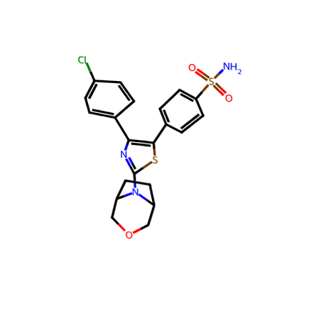 NS(=O)(=O)c1ccc(-c2sc(N3C4CCC3COC4)nc2-c2ccc(Cl)cc2)cc1